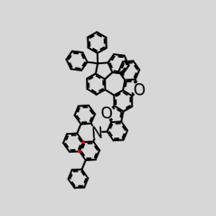 c1ccc(-c2ccc(N(c3ccccc3-c3ccccc3)c3cccc4c3oc3c(-c5cccc6c5-c5ccccc5C6(c5ccccc5)c5ccccc5)c5c(cc34)oc3ccccc35)cc2)cc1